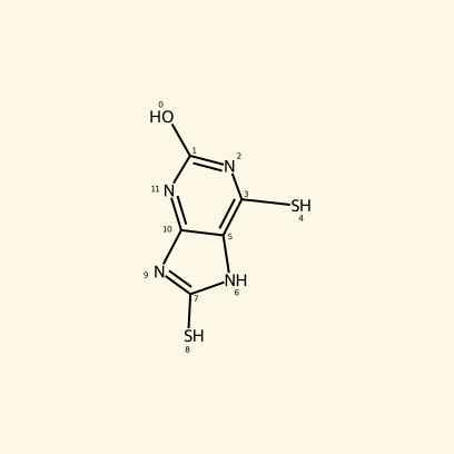 Oc1nc(S)c2[nH]c(S)nc2n1